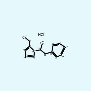 Cl.ClCc1cncn1C(Cl)Cc1ccccc1